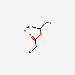 COC(OC)OC(=O)CC(C)=O.[Ti]